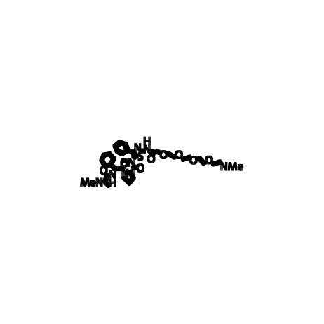 CNCCOCCOCCOCCOCC(=O)Nc1nc(-c2ccccc2)c(NC(=O)[C@@H]2CCCN2C(=O)C(NC(=O)[C@H](C)NC)C2CCCCC2)s1